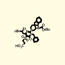 CCCCC(CC)Cc1nc(N2CCC3(CC2)Cc2ccccc2[C@H]3NC(=O)OC(C)(C)C)n(Cc2ccccc2)c(=O)c1S(=O)(=O)CCC(=O)O